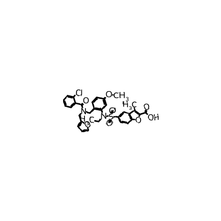 CCN(c1cc(OC)ccc1CN(Cc1ccco1)C(=O)c1ccccc1Cl)S(=O)(=O)c1ccc2oc(C(=O)O)c(C)c2c1